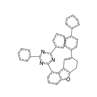 C1=C(c2ccc(-c3ccccc3)cc2)CCc2oc3cccc(-c4nc(-c5ccccc5)nc(-c5ccccc5)n4)c3c21